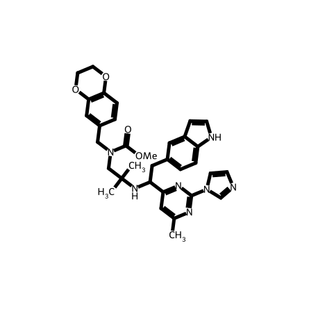 COC(=O)N(Cc1ccc2c(c1)OCCO2)CC(C)(C)NC(Cc1ccc2[nH]ccc2c1)c1cc(C)nc(-n2ccnc2)n1